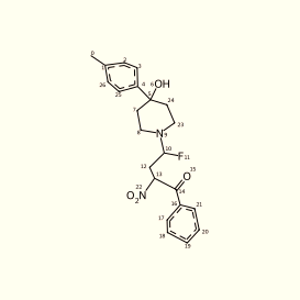 Cc1ccc(C2(O)CCN(C(F)CC(C(=O)c3ccccc3)[N+](=O)[O-])CC2)cc1